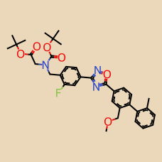 COCc1cc(-c2nc(-c3ccc(CN(CC(=O)OC(C)(C)C)C(=O)OC(C)(C)C)c(F)c3)no2)ccc1-c1ccccc1C